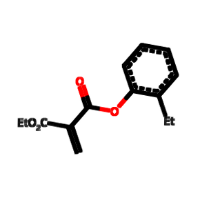 C=C(C(=O)OCC)C(=O)Oc1ccccc1CC